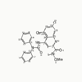 CON(C)C(=O)c1cc(NC(=O)N(c2ccccc2)c2ccccc2)c2c(Cl)cc(Cl)cc2n1